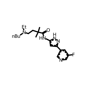 CCCCN(CC)CCC(C)(C)C(=O)Nc1cc(-c2cncc(F)c2)n[nH]1